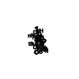 CCC[C@@H](NC(=O)[C@H]1[C@H]2CCC[C@H]2CN1C(=O)[C@H](NC(=O)[C@H](NC(=O)c1cnccn1)C1CCCCC1)C(C)(C)C)C(=O)C(=O)NC1CC1